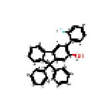 Oc1cc2c(cc1-c1ccccc1F)-c1ccccc1C2(c1ccccc1)c1ccccc1